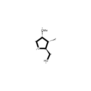 CO[C@H]1CO[C@H](CO)[C@H]1C